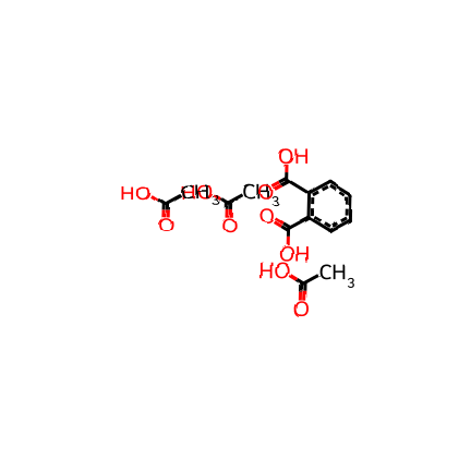 CC(=O)O.CC(=O)O.CC(=O)O.O=C(O)c1ccccc1C(=O)O